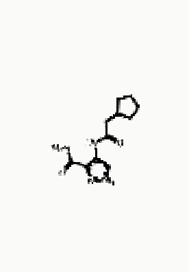 CNC(=O)c1n[nH]cc1NC(=O)CC1CCCC1